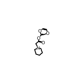 O=C(CN1CCCCC1)OC1=COC=CO1